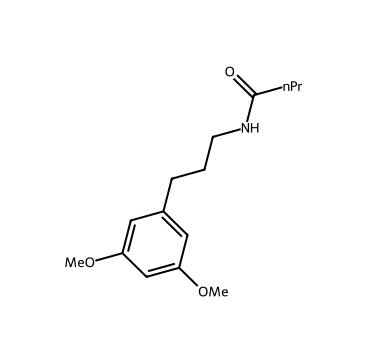 CCCC(=O)NCCCc1cc(OC)cc(OC)c1